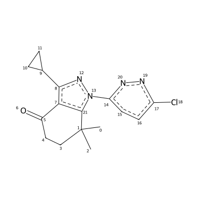 CC1(C)CCC(=O)c2c(C3CC3)nn(-c3ccc(Cl)nn3)c21